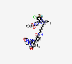 C[C@@H]1COCCN1c1nc(N2CCOC[C@H]2C)c2ccc(-c3cccc(C(=O)NCCCCCCCCN(C)c4nc(N5CCN(C(=O)OC(C)(C)C)CC5)c5cc(Cl)c(Br)c(F)c5n4)c3)nc2n1